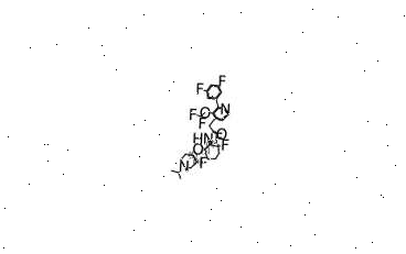 CC(C)N1CC[C@H](O[C@H]2CCCC(F)(F)[C@@H]2NC(=O)Cc2ccnc(-c3cc(F)cc(F)c3)c2OC(F)F)[C@H](F)C1